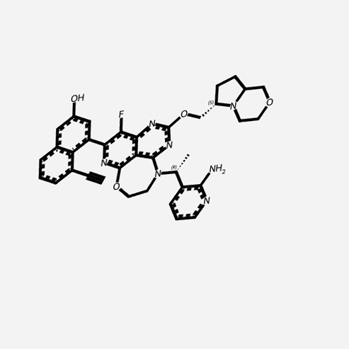 C#Cc1cccc2cc(O)cc(-c3nc4c5c(nc(OC[C@@H]6CCC7COCCN76)nc5c3F)N([C@H](C)c3cccnc3N)CCO4)c12